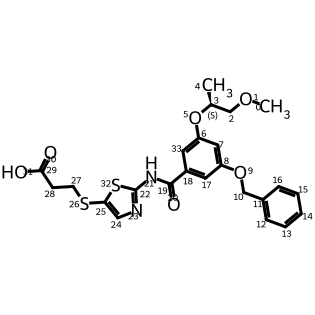 COC[C@H](C)Oc1cc(OCc2ccccc2)cc(C(=O)Nc2ncc(SCCC(=O)O)s2)c1